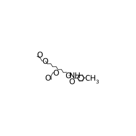 Cc1ccc(C(=O)NOCCCC(CCCCOCC2CO2)OCC2CO2)cc1